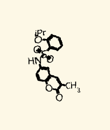 Cc1cc2cc(NS(=O)(=O)c3ccccc3OC(C)C)ccc2oc1=O